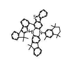 Cc1cc2c(cc1N1c3cc4c(cc3B3c5c1cc1c(sc6ccccc61)c5-c1cccc5c6c(n3c15)C(C)(C)c1ccccc1-6)C(C)(C)c1ccccc1-4)C(C)(C)CCC2(C)C